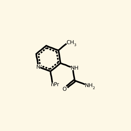 CCCc1nccc(C)c1NC(N)=O